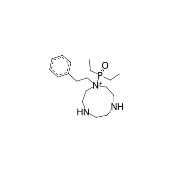 CCP(=O)(CC)[N+]1(CCc2ccccc2)CCNCCNCC1